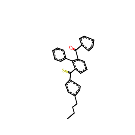 CCCCc1ccc(C(=S)c2cccc(C(=O)c3ccccc3)c2-c2ccccc2)cc1